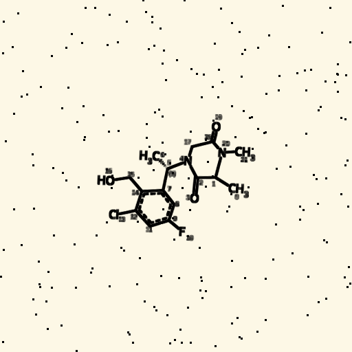 CC1C(=O)N([C@@H](C)c2cc(F)cc(Cl)c2CO)CC(=O)N1C